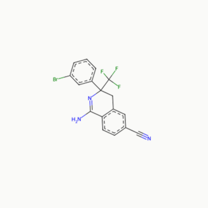 N#Cc1ccc2c(c1)CC(c1cccc(Br)c1)(C(F)(F)F)N=C2N